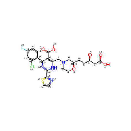 COC(=O)C1=C(CN2CCO[C@H](CCC(=O)CC(=O)O)C2)NC(c2nccs2)=N[C@H]1c1ccc(F)cc1Cl